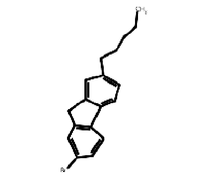 CCCCCc1ccc2c(c1)Cc1cc(Br)ccc1-2